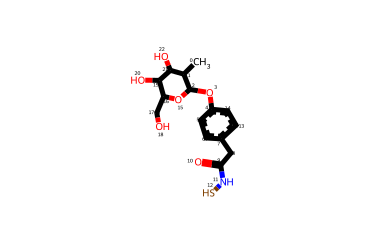 CC1C(Oc2ccc(CC(=O)NS)cc2)OC(CO)C(O)C1O